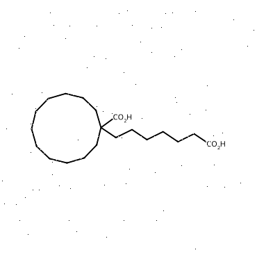 O=C(O)CCCCCCC1(C(=O)O)CCCCCCCCCCC1